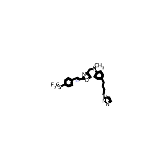 CN(Cc1coc(/C=C/c2ccc(SC(F)(F)F)cc2)n1)c1ccc(CCCCn2ccnn2)cc1